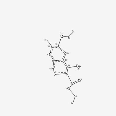 CCOC(=O)c1cnc2nc(C)c(OCC)cc2c1O